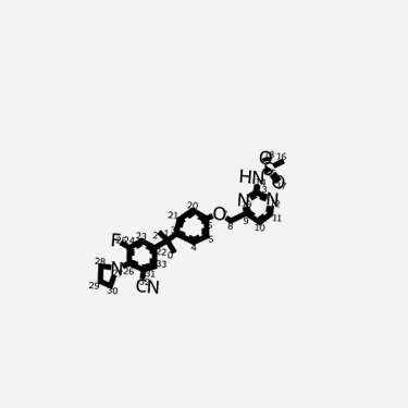 CC(C)(c1ccc(OCc2ccnc(NS(C)(=O)=O)n2)cc1)c1cc(F)c(N2CCC2)c(C#N)c1